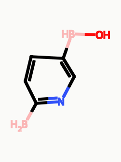 Bc1ccc(BO)cn1